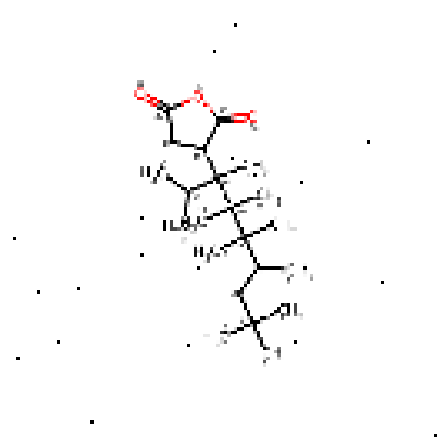 CC(CC(C)(C)C)C(C)(C)C(C)(C)C(C)(C(C)C)C1CC(=O)OC1=O